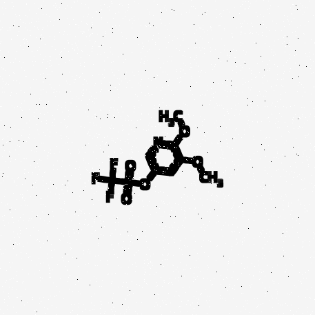 COc1cc(OS(=O)(=O)C(F)(F)F)cnc1OC